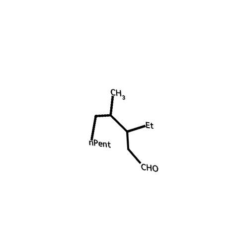 CCCCCCC(C)C(CC)CC=O